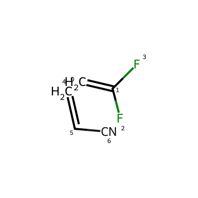 C=C(F)F.C=CC#N